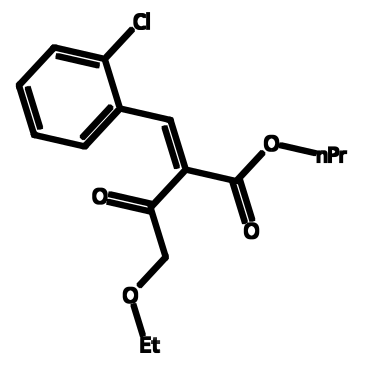 CCCOC(=O)C(=Cc1ccccc1Cl)C(=O)COCC